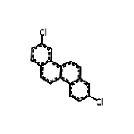 Clc1ccc2c(ccc3c4cc(Cl)ccc4ccc23)c1